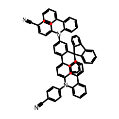 N#Cc1ccc(N(c2ccc3c(c2)C2(c4ccccc4-c4ccccc42)c2cccc4c(N(c5ccc(C#N)cc5)c5ccccc5-c5ccccc5)ccc-3c24)c2ccccc2-c2ccccc2)cc1